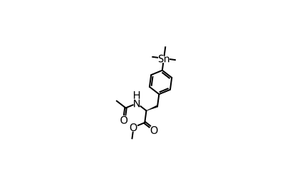 COC(=O)[C@H](Cc1cc[c]([Sn]([CH3])([CH3])[CH3])cc1)NC(C)=O